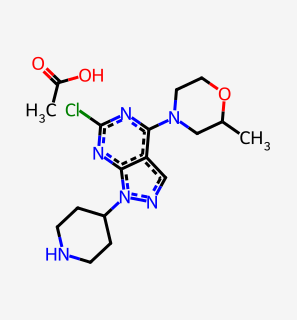 CC(=O)O.CC1CN(c2nc(Cl)nc3c2cnn3C2CCNCC2)CCO1